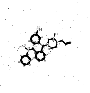 C=CCN1C[C@H](C)N([C@H](c2cccc(O)c2)c2ccccc2C(=O)N(CCC)c2ccccc2)C[C@H]1C